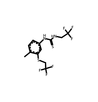 Cc1ccc(NC(=S)NCC(F)(F)F)cc1SCC(F)(F)F